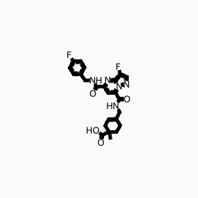 CC1(C(=O)O)CC=C(CNC(=O)c2cc(C(=O)NCc3ccc(F)cc3)nc3c(F)cnn23)CC1